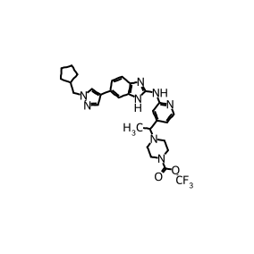 CC(c1ccnc(Nc2nc3ccc(-c4cnn(CC5CCCC5)c4)cc3[nH]2)c1)N1CCN(C(=O)OC(F)(F)F)CC1